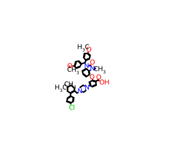 COc1ccc(C(c2ccc(OC)cc2)n2c(=O)n(C)c3c(Oc4cc(N5CCN(CC6=C(c7ccc(Cl)cc7)CC(C)(C)CC6)CC5)ccc4C(=O)O)cccc32)cc1